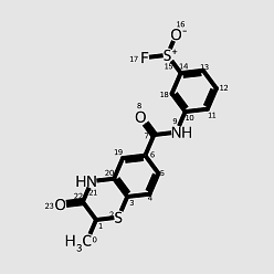 CC1Sc2ccc(C(=O)Nc3cccc([S+]([O-])F)c3)cc2NC1=O